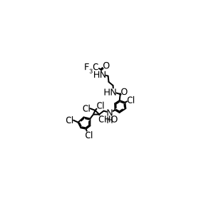 O=CC1(CNc2ccc(Cl)c(C(=O)NCCCNC(=O)C(F)(F)F)c2)C(c2cc(Cl)cc(Cl)c2)C1(Cl)Cl